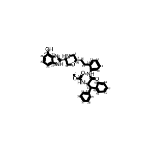 COC(=O)N[C@H](C(=O)Nc1ccccc1CC[C@@H]1CN[C@H](c2nc3c(O)cccc3[nH]2)CO1)C(c1ccccc1)c1ccccc1